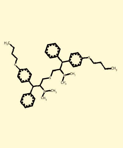 CCCCSc1ccc(C(c2ccccc2)C(CSCC(C(c2ccccc2)c2ccc(SCCCC)cc2)N(C)C)N(C)C)cc1